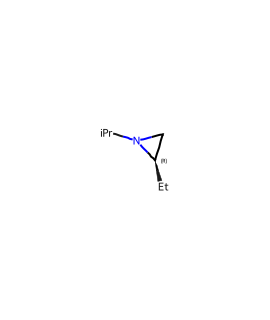 CC[C@@H]1CN1C(C)C